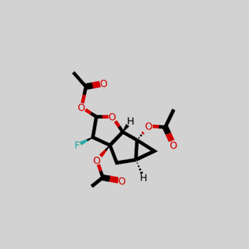 CC(=O)OC1O[C@@H]2[C@@]3(OC(C)=O)C[C@H]3C[C@]2(OC(C)=O)[C@H]1F